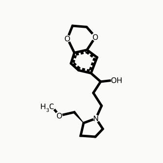 COC[C@@H]1CCCN1CCC(O)c1ccc2c(c1)OCCO2